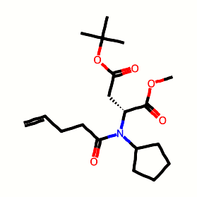 C=CCCC(=O)N(C1CCCC1)[C@H](CC(=O)OC(C)(C)C)C(=O)OC